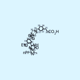 CCCc1nc(C)c2c(=O)[nH]c(-c3cc(S(=O)(=O)N4CCN(Cc5ccc(C=CC(=O)O)cc5)CC4)ccc3OCC)nn12